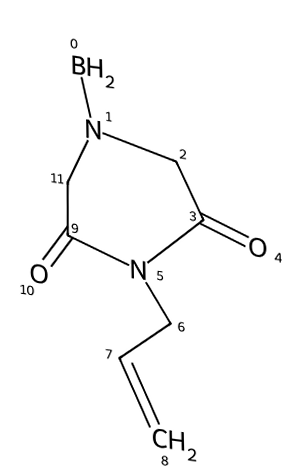 BN1CC(=O)N(CC=C)C(=O)C1